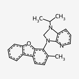 Cc1ccc2c(oc3ccccc32)c1N1CN(C(C)C)c2cccnc21